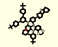 Cc1cc2c3c(c1)N(c1ccc(C(C)(C)C)cc1-c1ccccc1)c1c(ccc4c1OCCO4)B3c1cc(-c3ccc4c(c3)sc3ccccc34)ccc1N2c1cc(-c2ccc(C(C)(C)C)cc2)cc(-c2ccc(C(C)(C)C)cc2)c1